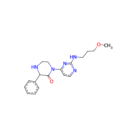 COCCCNc1nccc(N2CCNC(c3ccccc3)C2=O)n1